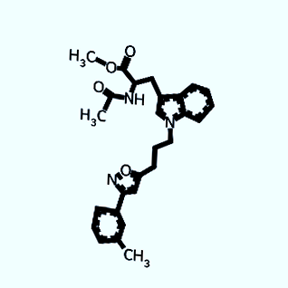 COC(=O)C(Cc1cn(CCCc2cc(-c3cccc(C)c3)no2)c2ccccc12)NC(C)=O